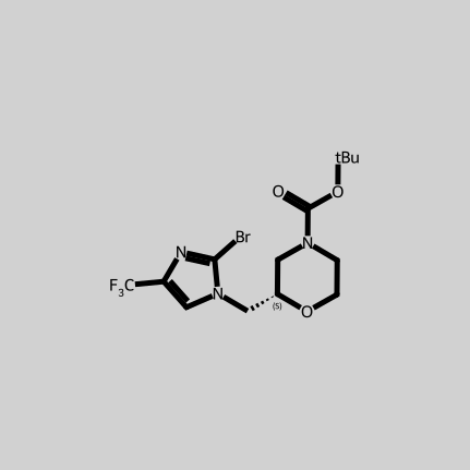 CC(C)(C)OC(=O)N1CCO[C@H](Cn2cc(C(F)(F)F)nc2Br)C1